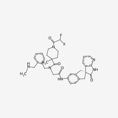 CNCc1ccccc1CN(CC(=O)Nc1ccc2c(c1)C[C@@]1(C2)C(=O)Nc2ncccc21)C(=O)C1(C)CCN(C(=O)C(F)F)CC1